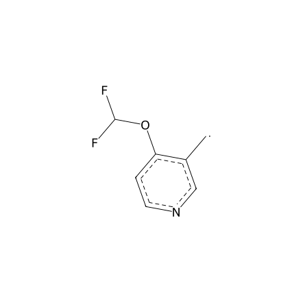 [CH2]c1cnccc1OC(F)F